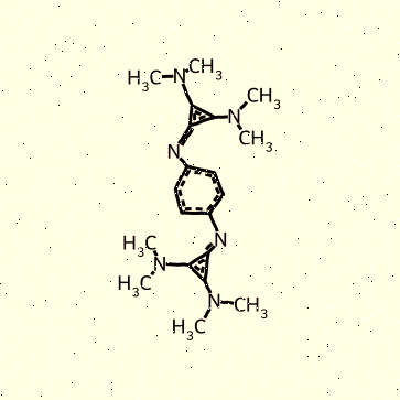 CN(C)c1c(N(C)C)c1=Nc1ccc(N=c2c(N(C)C)c2N(C)C)cc1